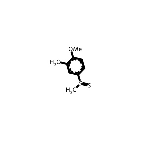 COc1ccc(S(C)=S)cc1C